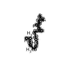 CN(CCC(=O)Oc1ccc(CNCc2ccc(C(=O)N(C)CCN3CCC(OC(=O)Nc4ccccc4-c4ccccc4)CC3)cc2)cc1)C(=O)CO[C@H]1Cc2ccccc2C12CCN(CC[C@@]1(c3ccc(F)cc3)CN(C(=O)c3cc(C(F)(F)F)cc(C(F)(F)F)c3)CO1)CC2